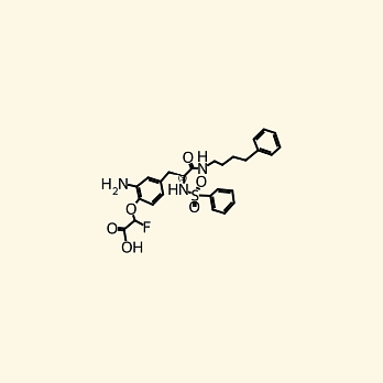 Nc1cc(C[C@H](NS(=O)(=O)c2ccccc2)C(=O)NCCCCc2ccccc2)ccc1OC(F)C(=O)O